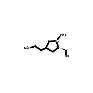 COCCC1C[C@@H](CO)N(C(=O)O)C1